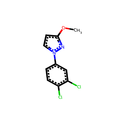 COc1ccn(-c2ccc(Cl)c(Cl)c2)n1